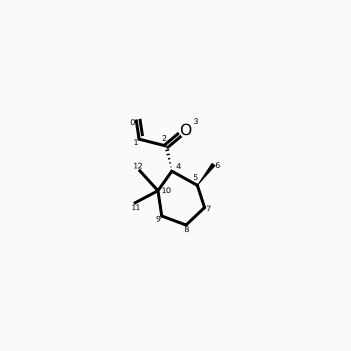 C=CC(=O)[C@@H]1[C@@H](C)CCCC1(C)C